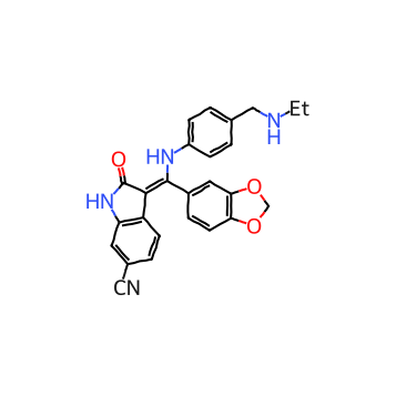 CCNCc1ccc(N/C(=C2\C(=O)Nc3cc(C#N)ccc32)c2ccc3c(c2)OCO3)cc1